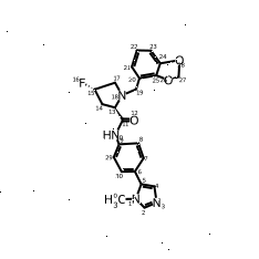 Cn1cncc1-c1ccc(NC(=O)[C@H]2C[C@H](F)CN2Cc2cccc3c2OCO3)cc1